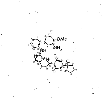 CO[C@@H]1[C@H](N)C[C@H](c2ccncc2Nc2ncc3ccc(-c4c(F)cc(C5(O)CCCC5)cc4F)nn23)C[C@@H]1C